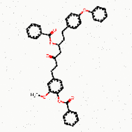 COc1cc(CCC(=O)CC(CCc2ccc(Oc3ccccc3)cc2)OC(=O)c2ccccc2)ccc1OC(=O)c1ccccc1